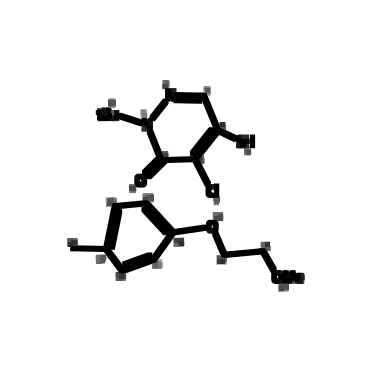 CC(C)(C)n1ncc(S)c(Cl)c1=O.COCCOc1ccc(C)cc1